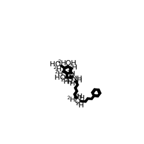 [2H]c1c([2H])c(C([2H])(O)C([2H])([2H])NC([2H])([2H])CCCCC([2H])([2H])OC([2H])([2H])CCCc2ccccc2)c([2H])c(C([2H])([2H])O)c1O